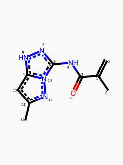 C=C(C)C(=O)Nc1n[nH]c2cc(C)nn12